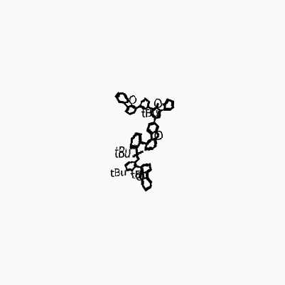 CC(C)(C)c1ccc(CC(C)(C)c2c(-c3cccc4oc5cc(-c6cc(-c7cccc(-c8cccc9c8oc8ccccc89)c7C(C)(C)C)c7oc8ccccc8c7c6)ccc5c34)cccc2C(C)(C)C)c(-c2cccc3c2oc2ccccc23)c1C(C)(C)C